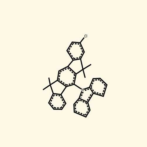 CC1(C)c2ccccc2-c2c1cc1c(c2-n2c3ccccc3c3ccccc32)C(C)(C)c2cc(Cl)ccc2-1